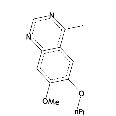 CCCOc1cc2c(C)ncnc2cc1OC